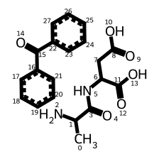 CC(N)C(=O)NC(CC(=O)O)C(=O)O.O=C(c1ccccc1)c1ccccc1